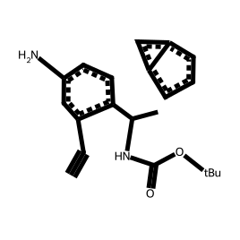 C#Cc1cc(N)ccc1C(C)NC(=O)OC(C)(C)C.c1cc2cc-2c1